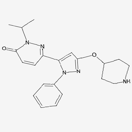 CC(C)n1nc(-c2cc(OC3CCNCC3)nn2-c2ccccc2)ccc1=O